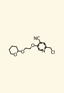 N#Cc1cc(CCl)ncc1OCCOC1CCCCO1